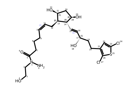 NN(CCO)C(=O)CCC/C=C\C[C@@H]1[C@@H](/C=C/[C@@H](O)CCc2cc(Cl)sc2Cl)[C@H](O)C[C@@H]1O